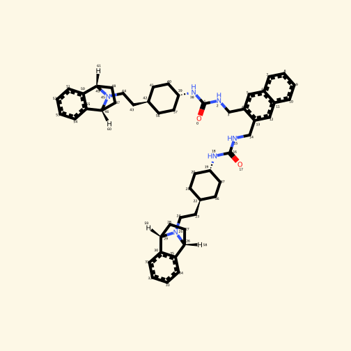 O=C(NCc1cc2ccccc2cc1CNC(=O)N[C@H]1CC[C@H](CCN2[C@@H]3CC[C@H]2c2ccccc23)CC1)N[C@H]1CC[C@H](CCN2[C@@H]3CC[C@H]2c2ccccc23)CC1